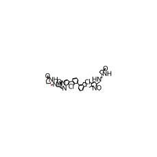 COc1nc(C[C@H]2CCc3c(-c4cccc(-c5ccn6c(=O)c(CNC[C@@H]7CCC(=O)N7)cnc6c5)c4Cl)cccc32)c(Cl)cc1CNC[C@H]1CCC(=O)N1